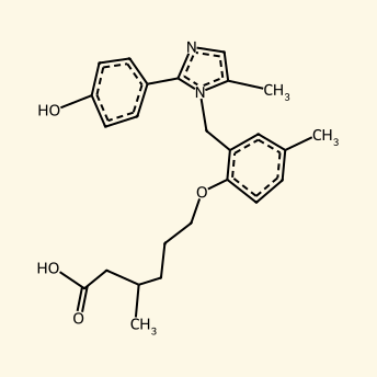 Cc1ccc(OCCCC(C)CC(=O)O)c(Cn2c(C)cnc2-c2ccc(O)cc2)c1